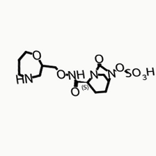 O=C(NOCC1CNCCCO1)[C@@H]1CCC2CN1C(=O)N2OS(=O)(=O)O